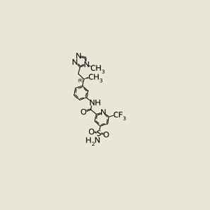 C[C@H](Cc1nncn1C)c1cccc(NC(=O)c2cc(S(N)(=O)=O)cc(C(F)(F)F)n2)c1